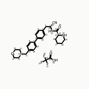 N#C[C@H](Cc1ccc(-c2ccc(CN3CCOCC3)cc2)cc1)NC(=O)[C@@H]1CCCCN1.O=C(O)C(F)(F)F